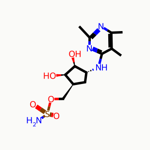 Cc1nc(C)c(C)c(N[C@@H]2C[C@@H](COS(N)(=O)=O)[C@@H](O)[C@H]2O)n1